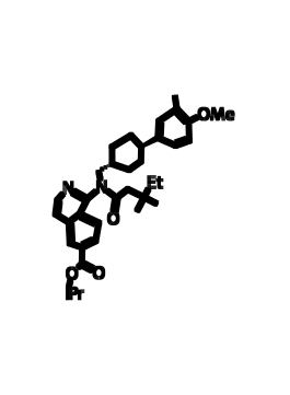 CCC(C)(C)CC(=O)N(C[C@H]1CC[C@H](c2ccc(OC)c(C)c2)CC1)c1nccc2cc(C(=O)OC(C)C)ccc12